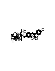 CCC(O)(c1nnc(NCc2cc3oc(=O)c(-c4ccc(F)cc4)cc3cc2F)o1)C(F)(F)F